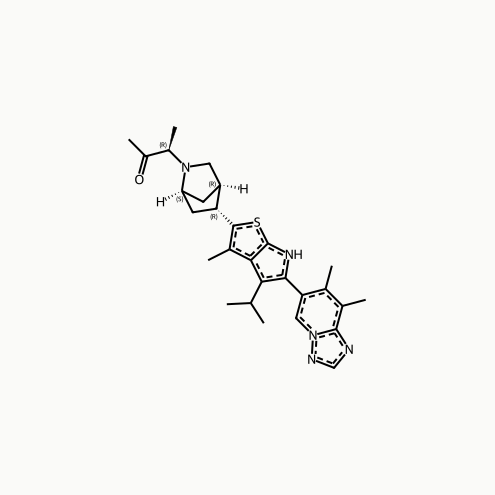 CC(=O)[C@@H](C)N1C[C@@H]2C[C@H]1C[C@H]2c1sc2[nH]c(-c3cn4ncnc4c(C)c3C)c(C(C)C)c2c1C